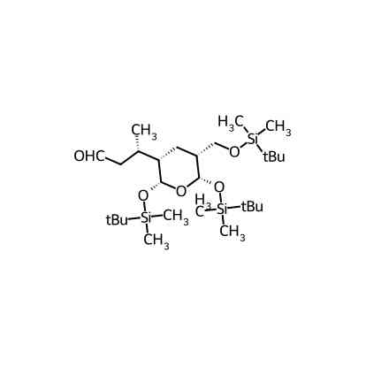 C[C@@H](CC=O)[C@@H]1C[C@H](CO[Si](C)(C)C(C)(C)C)[C@H](O[Si](C)(C)C(C)(C)C)O[C@@H]1O[Si](C)(C)C(C)(C)C